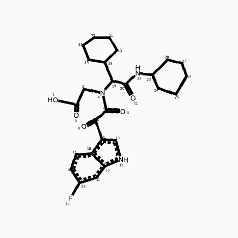 O=C(O)CN(C(=O)C(=O)c1c[nH]c2cc(F)ccc12)C(C(=O)NC1CCCCC1)C1CCCCC1